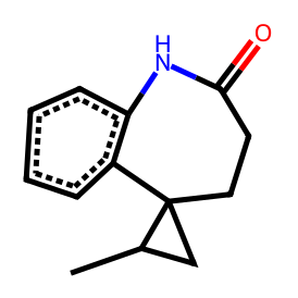 CC1CC12CCC(=O)Nc1ccccc12